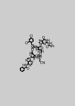 CC(C)C(=O)Nc1nc2c(ncn2[C@@H]2O[C@@H]3COP(=O)(OCCC#N)O[C@H]4[C@H](F)[C@H](n5cnc6c(NC(=O)c7ccccc7)ncnc65)O[C@@H]4COP(=S)(SCc4ccc(Cl)cc4Cl)O[C@@H]2[C@@H]3F)c(=O)[nH]1